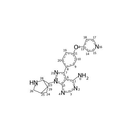 Nc1ncnc2c1c(-c1ccc(Oc3ccncc3)cc1)nn2C1CC2CNC1C2